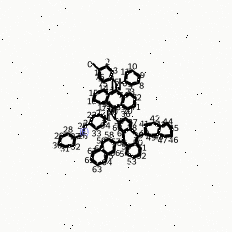 Cc1ccc(N(c2ccccc2)c2c3ccccc3c(N(c3ccc(/C=C/c4ccccc4)cc3)c3ccc4c(-c5ccc6ccccc6c5)c5ccccc5c(-c5ccc6ccccc6c5)c4c3)c3ccccc23)cc1